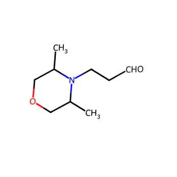 CC1COCC(C)N1CCC=O